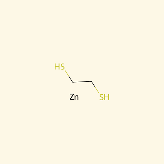 SCCS.[Zn]